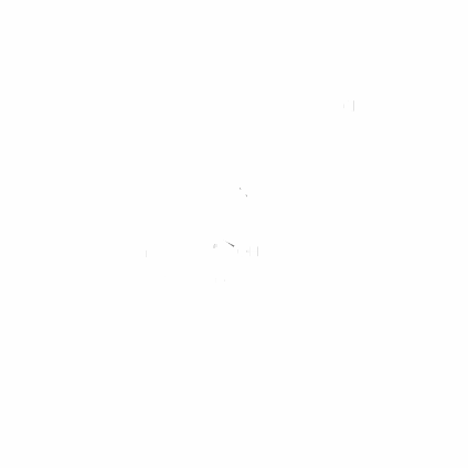 CCOP(=O)(Cc1ccccc1)C[C@H](O)CNCc1ccc(Cl)cc1